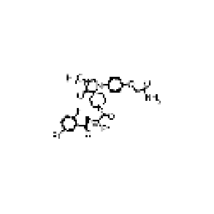 CCc1ccc(F)c(C(=O)N[C@@H](C(=O)N2CCC3(CC2)C(=O)N(C)CN3c2ccc(OCC(N)=O)cc2)C(C)C)c1